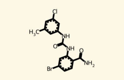 Cc1cc(Cl)cc(NC(=O)Nc2cc(Br)ccc2C(N)=O)c1